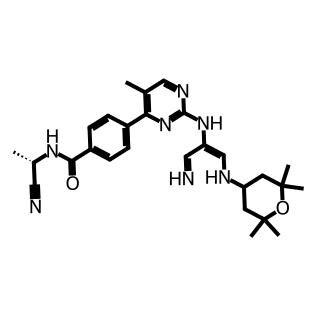 Cc1cnc(N/C(C=N)=C/NC2CC(C)(C)OC(C)(C)C2)nc1-c1ccc(C(=O)N[C@@H](C)C#N)cc1